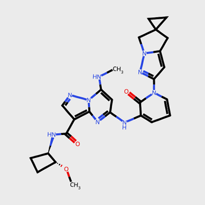 CNc1cc(Nc2cccn(-c3cc4n(n3)CC3(CC3)C4)c2=O)nc2c(C(=O)N[C@@H]3CC[C@H]3OC)cnn12